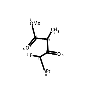 CCCC(F)C(=O)C(C)C(=O)OC